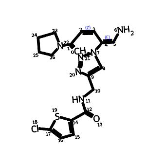 C=C(/C=C\C(=C/N)n1cc(CNC(=O)c2ccc(Cl)s2)nn1)N1CCCC1